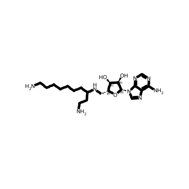 NCCCCCCCC(CCN)NC[C@H]1O[C@@H](n2cnc3c(N)ncnc32)[C@H](O)[C@@H]1O